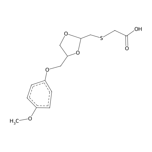 COc1ccc(OCC2COC(CSCC(=O)O)O2)cc1